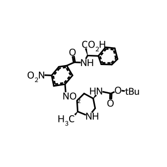 C[C@H]1CC[C@@H](NC(=O)OC(C)(C)C)CN1.O=C(N[C@@H](C(=O)O)c1ccccc1)c1cc([N+](=O)[O-])cc([N+](=O)[O-])c1